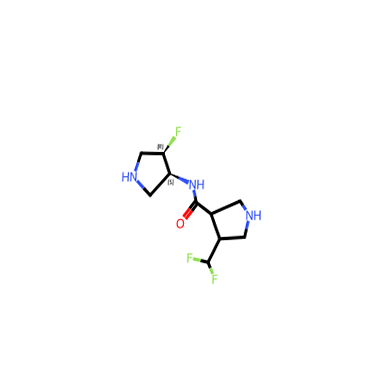 O=C(N[C@H]1CNC[C@H]1F)C1CNCC1C(F)F